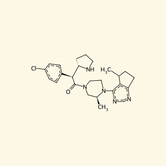 CC1CCc2ncnc(N3CCN(C(=O)[C@@H](c4ccc(Cl)cc4)[C@@H]4CCCN4)C[C@@H]3C)c21